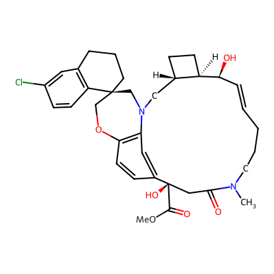 COC(=O)[C@@]1(O)CC(=O)N(C)CCC/C=C/[C@H](O)[C@@H]2CC[C@H]2CN2C[C@@]3(CCCc4cc(Cl)ccc43)COc3ccc1cc32